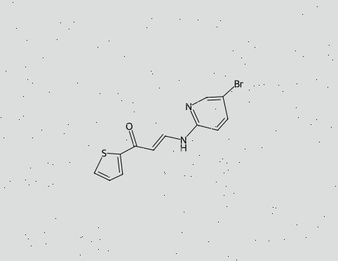 O=C(/C=C/Nc1ccc(Br)cn1)c1cccs1